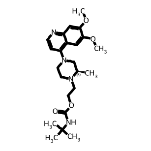 COc1cc2nccc(N3CCN(CCOC(=O)NC(C)(C)C)[C@H](C)C3)c2cc1OC